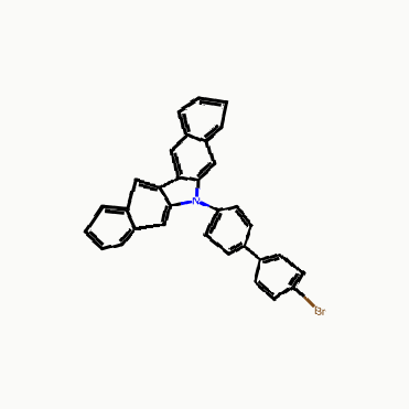 Brc1ccc(-c2ccc(-n3c4cc5ccccc5cc4c4cc5ccccc5cc43)cc2)cc1